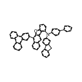 c1ccc(-c2ccc(N(c3ccc4c(c3)Cc3ccccc3-4)c3cccc4oc5c(-c6ccc7c8ccccc8c8ccccc8c7c6)c6ccccc6cc5c34)cc2)cc1